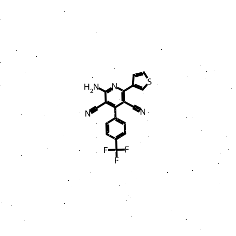 N#Cc1c(N)nc(-c2ccsc2)c(C#N)c1-c1ccc(C(F)(F)F)cc1